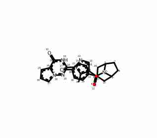 Cc1c(C(=O)N2C3CCC2CC(F)(c2ccc(Cl)cc2)C3)cnn1-c1nn2cccc2c(=O)[nH]1